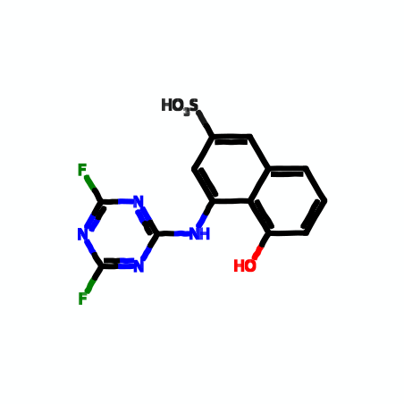 O=S(=O)(O)c1cc(Nc2nc(F)nc(F)n2)c2c(O)cccc2c1